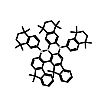 CC1(C)CCC(C)(C)c2cc(N3B4c5cc6c(cc5N(c5ccc7c(c5)C(C)(C)CCC7(C)C)c5cc7c(c(c54)-c4c3ccc3c4-c4ccccc4C3(C)C)C(C)(C)c3ccccc3-7)C(C)(C)CCC6(C)C)ccc21